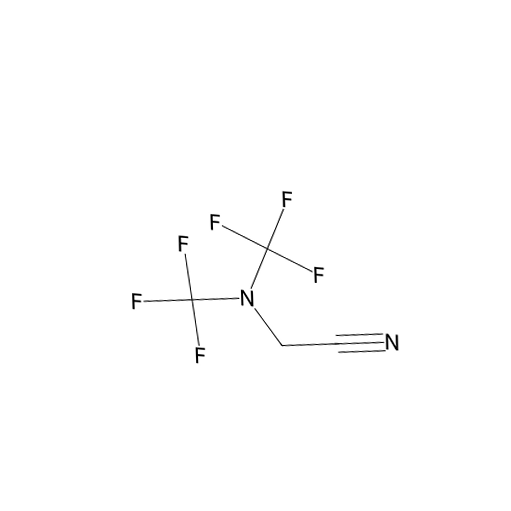 N#CCN(C(F)(F)F)C(F)(F)F